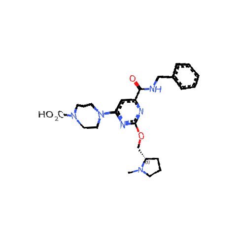 CN1CCC[C@H]1COc1nc(C(=O)NCc2ccccc2)cc(N2CCN(C(=O)O)CC2)n1